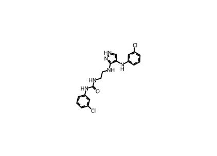 O=C(NCCNc1n[nH]cc1Nc1cccc(Cl)c1)Nc1cccc(Cl)c1